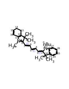 CCCCN1\C(=C/C=C/C=C/C2=[N+](C)C3=C(CCC=C3)C2(C)C)C(C)(C)c2ccccc21